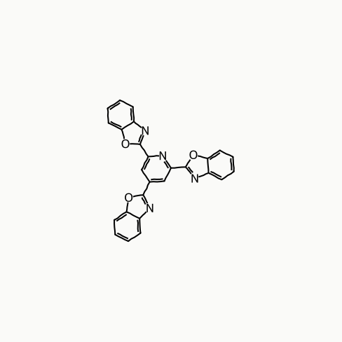 c1ccc2oc(-c3cc(-c4nc5ccccc5o4)nc(-c4nc5ccccc5o4)c3)nc2c1